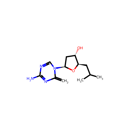 C=C1N=C(N)N=CN1[C@H]1C[C@H](O)[C@@H](CC(C)C)O1